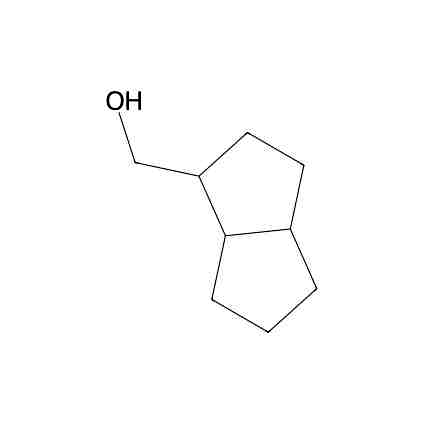 OCC1CCC2CCCC12